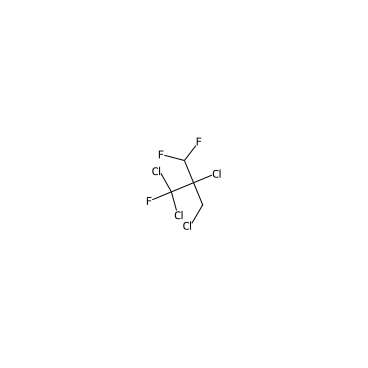 FC(F)C(Cl)(CCl)C(F)(Cl)Cl